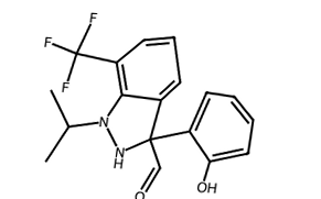 CC(C)N1NC(C=O)(c2ccccc2O)c2cccc(C(F)(F)F)c21